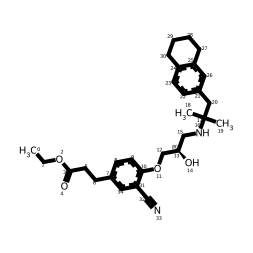 CCOC(=O)CCc1ccc(OC[C@H](O)CNC(C)(C)Cc2ccc3c(c2)CCCC3)c(C#N)c1